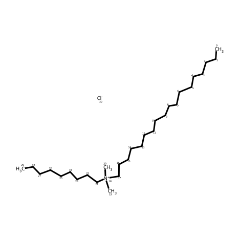 CCCCCCCCCCCCCCCCCC[N+](C)(C)CCCCCCCCC.[Cl-]